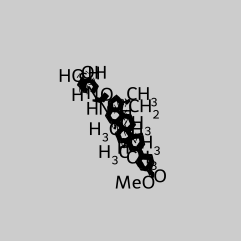 C=C(C)[C@@H]1CC[C@]2(NC(=O)CN3C[C@@H]4C[C@H]3CS4(O)O)CC[C@]3(C)[C@H](CC[C@@H]4[C@@]5(C)CC=C(c6ccc(C(=O)OC)cc6)C(C)(C)[C@@H]5CC[C@]43C)C12